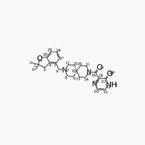 CC1(C)Cc2c(CN3CCC4(CC3)CCN(C(=O)c3ncc[nH]c3=O)CC4)cccc2O1